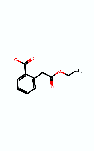 CCOC(=O)Cc1ccccc1C(=O)O